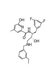 CCc1cccc(CNC[C@@H](O)[C@H](Cc2cc(F)cc(F)c2)NC(=O)c2cc(C)cc(O)n2)c1